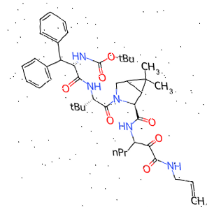 C=CCNC(=O)C(=O)C(CCC)NC(=O)[C@@H]1C2C(CN1C(=O)[C@@H](NC(=O)[C@@H](NC(=O)OC(C)(C)C)C(c1ccccc1)c1ccccc1)C(C)(C)C)C2(C)C